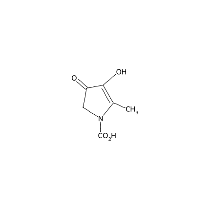 CC1=C(O)C(=O)CN1C(=O)O